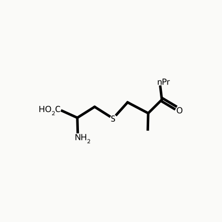 CCCC(=O)C(C)CSCC(N)C(=O)O